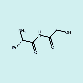 CC(C)[C@H](N)C(=O)NC(=O)CO